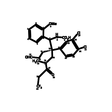 COc1ccccc1C(NC(=O)O)[C@](CCC=O)(CN(C)C(=O)CC(F)(F)F)c1ccc(Cl)c(Cl)c1